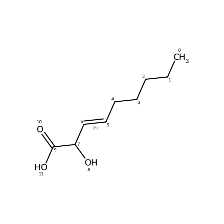 CCCCC/C=C/C(O)C(=O)O